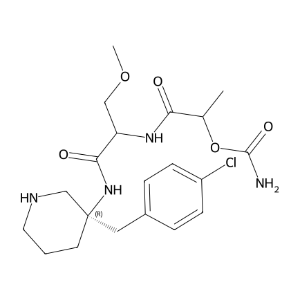 COCC(NC(=O)C(C)OC(N)=O)C(=O)N[C@@]1(Cc2ccc(Cl)cc2)CCCNC1